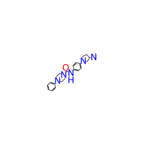 CN(C)C1CCN(c2ccc(NC(=O)N3CCN(c4ccccc4)CC3)cc2)C1